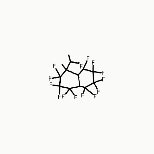 CC(C)C1(C)C2C(C(F)(F)C(F)(F)C(F)(F)C2(F)F)C(F)(F)C(F)(F)C1(F)F